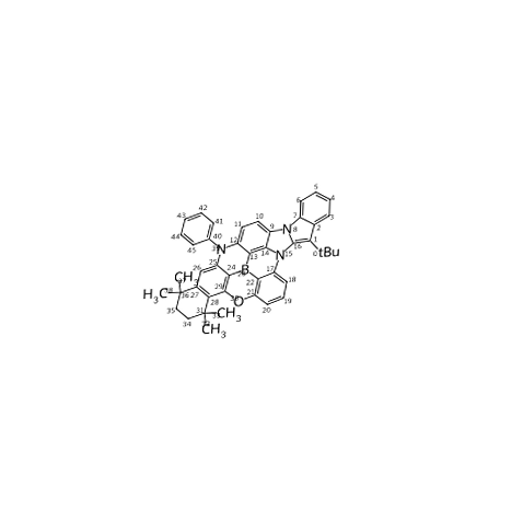 CC(C)(C)c1c2ccccc2n2c3ccc4c5c3n(c12)-c1cccc2c1B5c1c(cc3c(c1O2)C(C)(C)CCC3(C)C)N4c1ccccc1